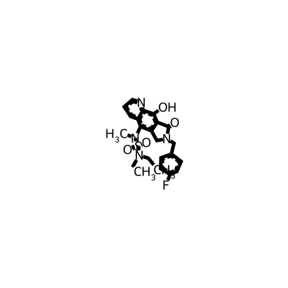 CCN(CC)S(=O)(=O)N(C)c1c2c(c(O)c3ncccc13)C(=O)N(Cc1ccc(F)cc1)C2